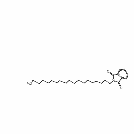 O=C1c2ccccc2C(=O)N1CCCCCCCCCCCCCCCCCCO